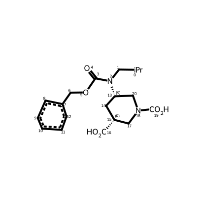 CC(C)CN(C(=O)OCc1ccccc1)[C@H]1C[C@@H](C(=O)O)CN(C(=O)O)C1